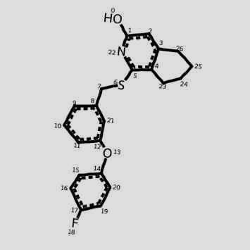 Oc1cc2c(c(SCc3cccc(Oc4ccc(F)cc4)c3)n1)CCCC2